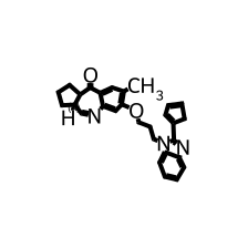 Cc1cc2c(cc1OCCCn1c(C3=CC=CC3)nc3ccccc31)N=C[C@@H]1CCCC1C2=O